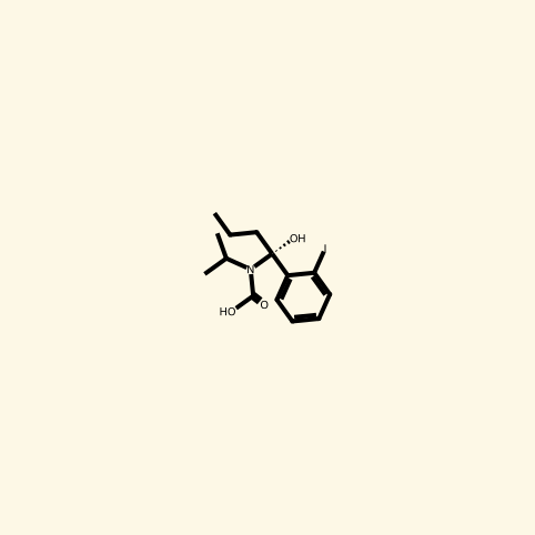 CCC[C@@](O)(c1ccccc1I)N(C(=O)O)C(C)C